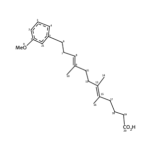 COc1cccc(CC/C=C(\C)CC/C(C)=C(\C)CCCC(=O)O)c1